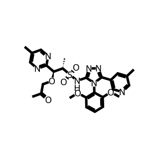 COc1cccc(OC)c1-n1c(NS(=O)(=O)[C@@H](C)[C@@H](OCC(C)=O)c2ncc(C)cn2)nnc1-c1cncc(C)c1